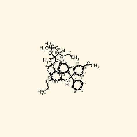 CCOc1nc(NC(c2ccccc2)(c2ccccc2)c2ccc(OC)cc2)nc2c1ncn2[C@@H]1O[C@H](CC)[C@H]2OC(C)(C)O[C@]21C